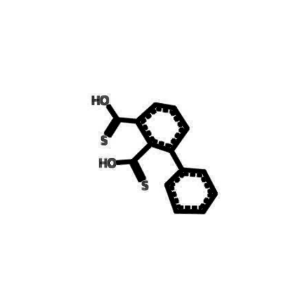 OC(=S)c1cccc(-c2ccccc2)c1C(O)=S